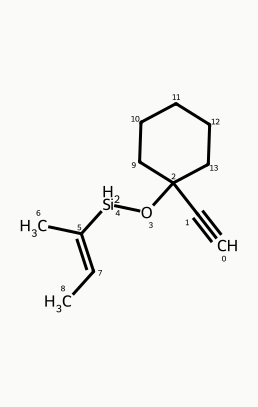 C#CC1(O[SiH2]C(C)=CC)CCCCC1